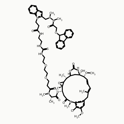 COc1cc2cc(c1Cl)N(C)C(=O)C[C@H](OC(=O)[C@H](C)N(C)C(=O)CCOCCOCCNC(=S)NCCNC(=O)CCn1c(CN(C)N(C)C(=O)COC3c4ccccc4-c4ccccc43)cc3ccccc31)[C@]1(C)OC1[C@H](C)[C@@H]1C[C@@](O)(NC(=O)O1)[C@H](OC)/C=C/C=C(\C)C2